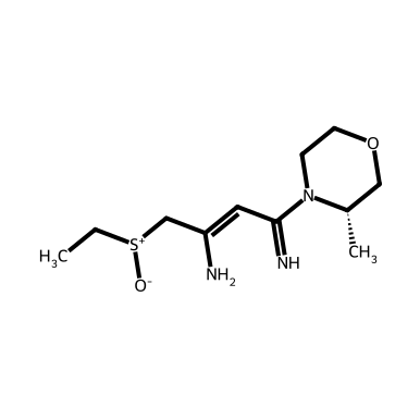 CC[S+]([O-])C/C(N)=C/C(=N)N1CCOC[C@@H]1C